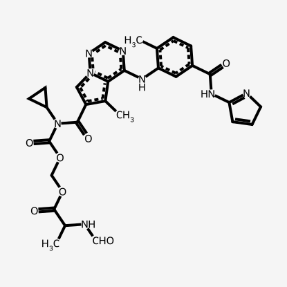 Cc1ccc(C(=O)NC2=NCC=C2)cc1Nc1ncnn2cc(C(=O)N(C(=O)OCOC(=O)C(C)NC=O)C3CC3)c(C)c12